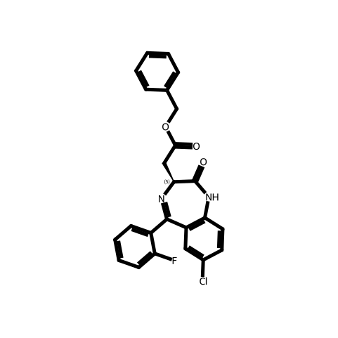 O=C(C[C@@H]1N=C(c2ccccc2F)c2cc(Cl)ccc2NC1=O)OCc1ccccc1